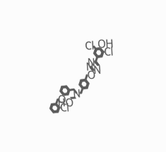 OCCN(Cc1ccc(COc2ncc(-c3cc(Cl)c(O)c(Cl)c3)nn2)cc1)Cc1cccc(OCc2ccccc2Cl)c1